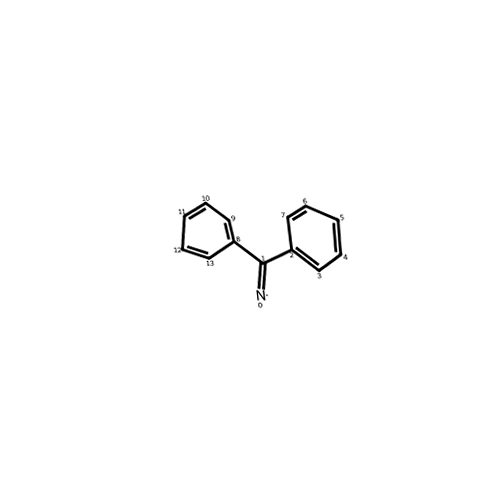 [N]=C(c1ccccc1)c1ccccc1